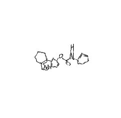 O=C(Nc1ccccc1)Oc1ccc2c(c1)C13CCCCC1C(C2)NCC3